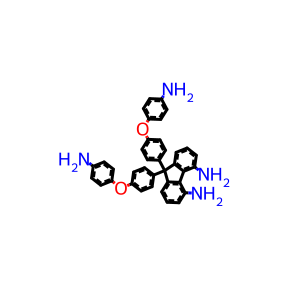 Nc1ccc(Oc2ccc(C3(c4ccc(Oc5ccc(N)cc5)cc4)c4cccc(N)c4-c4c(N)cccc43)cc2)cc1